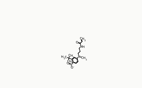 C=CC(=O)NCCCN(C)c1ccc([N+](=O)[O-])c(C(C)(C)C)c1